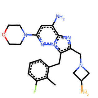 Cc1c(F)cccc1Cc1c(CN2CC(P)C2)nc2c(N)cc(N3CCOCC3)nn12